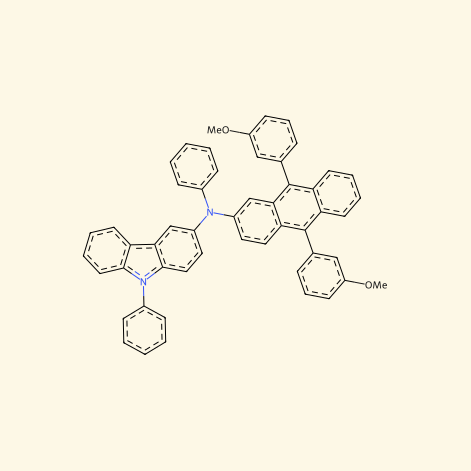 COc1cccc(-c2c3ccccc3c(-c3cccc(OC)c3)c3cc(N(c4ccccc4)c4ccc5c(c4)c4ccccc4n5-c4ccccc4)ccc23)c1